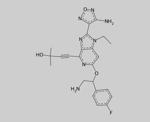 CCn1c(-c2nonc2N)nc2c(C#CC(C)(C)O)nc(OC(CN)c3ccc(F)cc3)cc21